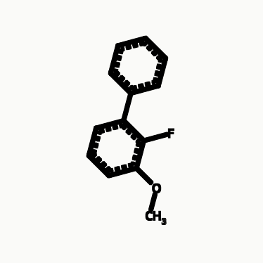 COc1cccc(-c2ccccc2)c1F